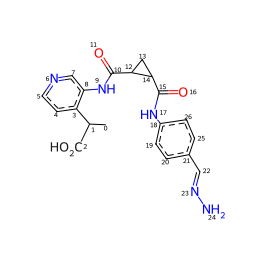 CC(C(=O)O)c1ccncc1NC(=O)C1CC1C(=O)Nc1ccc(C=NN)cc1